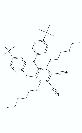 CCOCCOc1c(C#N)c(C#N)c(OCCOCC)c(Sc2ccc(C(C)(C)C)cc2)c1Sc1ccc(C(C)(C)C)cc1